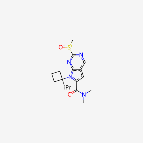 CC(C)C1(n2c(C(=O)N(C)C)cc3cnc([S+](C)[O-])nc32)CCC1